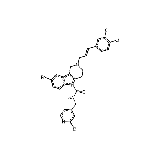 O=C(NCc1ccnc(Cl)c1)n1c2c(c3cc(Br)ccc31)CN(CC=Cc1ccc(Cl)c(Cl)c1)CC2